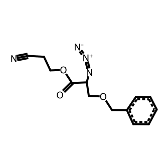 N#CCCOC(=O)C(COCc1ccccc1)N=[N+]=[N-]